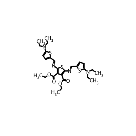 CCOC(=O)c1c(N=Cc2ccc(N(CC)CC)s2)sc(N=Cc2ccc(N(CC)CC)s2)c1C(=O)OCC